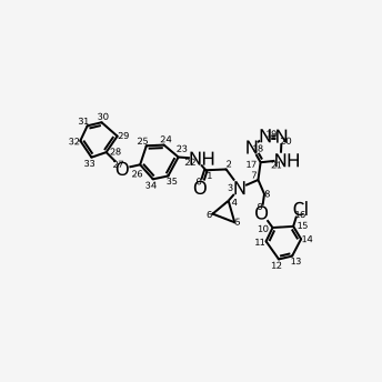 O=C(CN(C1CC1)C(COc1ccccc1Cl)c1nnn[nH]1)Nc1ccc(Oc2ccccc2)cc1